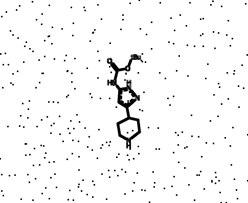 CC(C)(C)OC(=O)Nc1cc(C2CCNCC2)n[nH]1